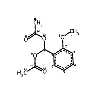 COc1ccccc1I(OC(C)=O)OC(C)=O